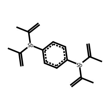 C=[C](C)[Sb]([C](=C)C)[c]1cc[c]([Sb]([C](=C)C)[C](=C)C)cc1